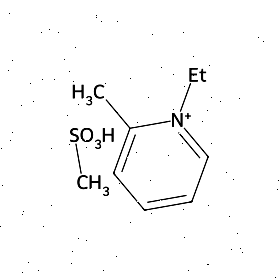 CC[n+]1ccccc1C.CS(=O)(=O)O